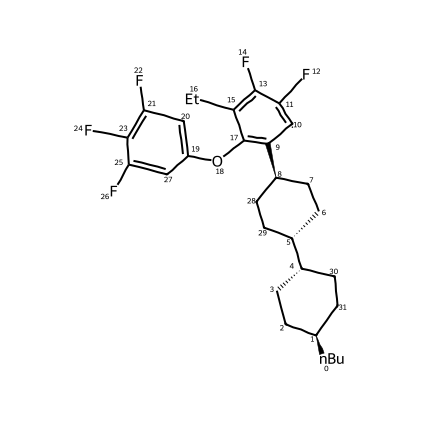 CCCC[C@H]1CC[C@H]([C@H]2CC[C@H](c3[c]c(F)c(F)c(CC)c3Oc3cc(F)c(F)c(F)c3)CC2)CC1